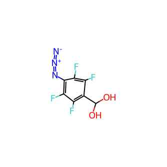 [N-]=[N+]=Nc1c(F)c(F)c(C(O)O)c(F)c1F